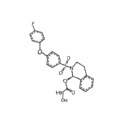 O=C(NO)O[C@@H]1c2ccccc2CCN1S(=O)(=O)c1ccc(Oc2ccc(F)cc2)cc1